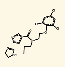 C1=NCCN1.CCCN(CCOc1c(Cl)cc(Cl)cc1Cl)C(=O)n1ccnc1